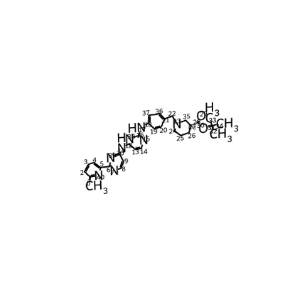 Cc1cccc(-c2nccc(Nc3ccnc(Nc4ccc(CN5CCC[C@@H](C(=O)OC(C)(C)C)C5)cc4)n3)n2)n1